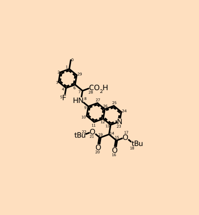 Cc1ccc(F)c(C(Nc2ccc3c(C(C(=O)OC(C)(C)C)C(=O)OC(C)(C)C)nccc3c2)C(=O)O)c1